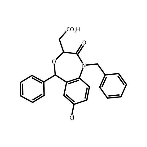 O=C(O)CC1OC(c2ccccc2)c2cc(Cl)ccc2N(Cc2ccccc2)C1=O